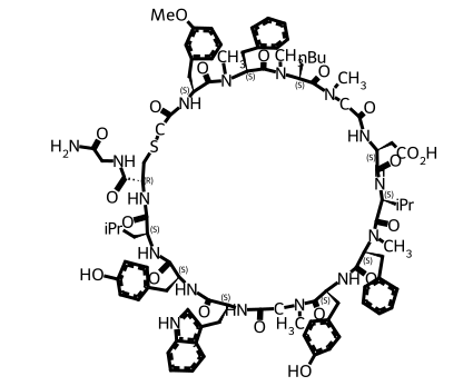 CCCC[C@H]1C(=O)N(C)CC(=O)N[C@@H](CC(=O)O)C(=O)N[C@@H](C(C)C)C(=O)N(C)[C@@H](Cc2ccccc2)C(=O)N[C@@H](Cc2ccc(O)cc2)C(=O)N(C)CC(=O)N[C@@H](Cc2c[nH]c3ccccc23)C(=O)N[C@@H](Cc2ccc(O)cc2)C(=O)N[C@@H](CC(C)C)C(=O)N[C@H](C(=O)NCC(N)=O)CSCC(=O)N[C@@H](Cc2cccc(OC)c2)C(=O)N(C)[C@@H](Cc2ccccc2)C(=O)N1C